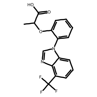 CC(Oc1ccccc1-n1cnc2c(C(F)(F)F)cccc21)C(=O)O